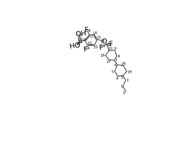 CCCC1CCC(C2CCC(C(F)(F)Oc3cc(F)c(B(O)O)c(F)c3)CC2)CC1